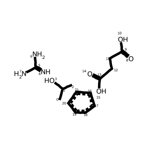 CC(C)O.N=C(N)N.O=C(O)CCC(=O)O.c1ccccc1